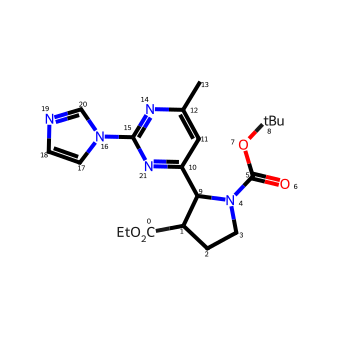 CCOC(=O)C1CCN(C(=O)OC(C)(C)C)C1c1cc(C)nc(-n2ccnc2)n1